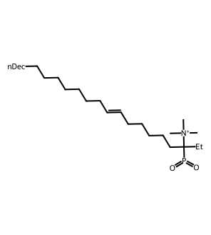 CCCCCCCCCCCCCCCCCC=CCCCCCC(CC)(P(=O)=O)[N+](C)(C)C